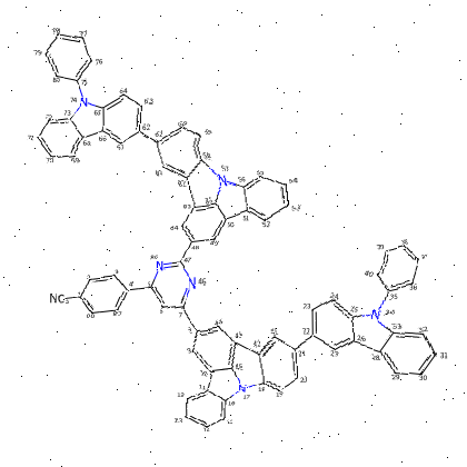 N#Cc1ccc(-c2cc(-c3cc4c5ccccc5n5c6ccc(-c7ccc8c(c7)c7ccccc7n8-c7ccccc7)cc6c(c3)c45)nc(-c3cc4c5ccccc5n5c6ccc(-c7ccc8c(c7)c7ccccc7n8-c7ccccc7)cc6c(c3)c45)n2)cc1